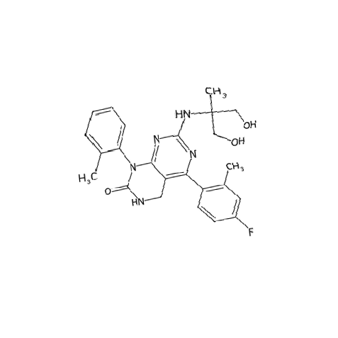 Cc1cc(F)ccc1-c1nc(NC(C)(CO)CO)nc2c1CNC(=O)N2c1ccccc1C